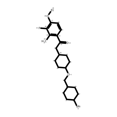 CCCC1CCC(COC2CCC(CC(=O)c3ccc(OCC)c(F)c3C)CC2)CC1